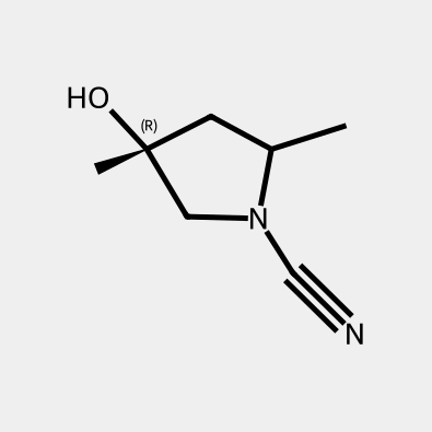 CC1C[C@@](C)(O)CN1C#N